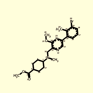 COC(=O)C1CCC(N(C)Cc2ncc(-c3cccc(Br)c3C)nc2OC)CC1